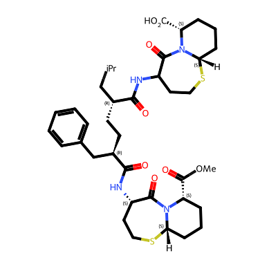 COC(=O)[C@@H]1CCC[C@@H]2SCC[C@H](NC(=O)[C@H](CC[C@H](CC(C)C)C(=O)NC3CCS[C@H]4CCC[C@@H](C(=O)O)N4C3=O)Cc3ccccc3)C(=O)N21